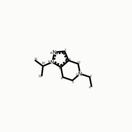 CCN1CCc2c(cnn2C(C)C)C1